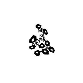 c1ccc(-c2cccc([Si](c3ccccc3)(c3ccccc3)c3cccc(-c4nc(-n5c6ccccc6n6c7ccccc7nc56)nc(-n5c6ccccc6n6c7ccccc7nc56)n4)c3)c2)cc1